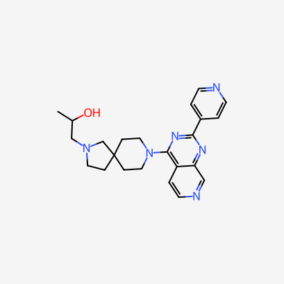 CC(O)CN1CCC2(CCN(c3nc(-c4ccncc4)nc4cnccc34)CC2)C1